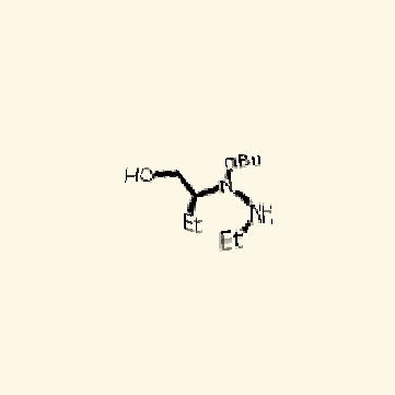 CCCCN(NCC)C(CC)CO